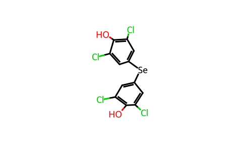 Oc1c(Cl)cc([Se]c2cc(Cl)c(O)c(Cl)c2)cc1Cl